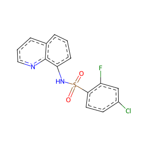 O=S(=O)(Nc1cccc2cccnc12)c1ccc(Cl)cc1F